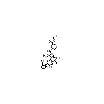 CCOC(=O)C1CCCC(Nc2nc3c(c(=O)n(Cc4cc5c(Cl)cccc5[nH]4)c(=O)n3C)n2C)C1